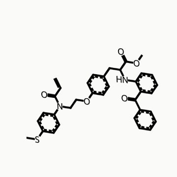 C=CC(=O)N(CCOc1ccc(CC(Nc2ccccc2C(=O)c2ccccc2)C(=O)OC)cc1)c1ccc(SC)cc1